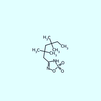 CCC(C)(C)CC(C)(C)CC1=NOS(=O)(=O)N1